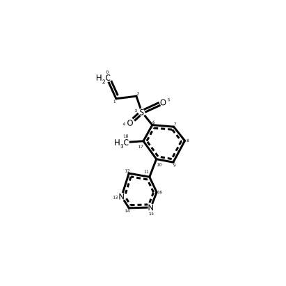 C=CCS(=O)(=O)c1cccc(-c2cncnc2)c1C